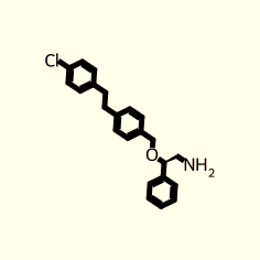 NC[C@H](OCc1ccc(CCc2ccc(Cl)cc2)cc1)c1ccccc1